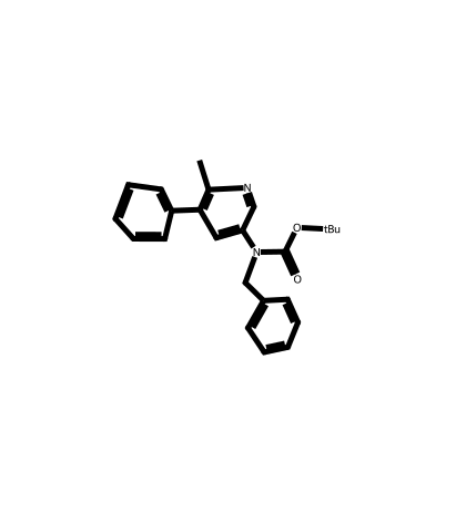 Cc1ncc(N(Cc2ccccc2)C(=O)OC(C)(C)C)cc1-c1ccccc1